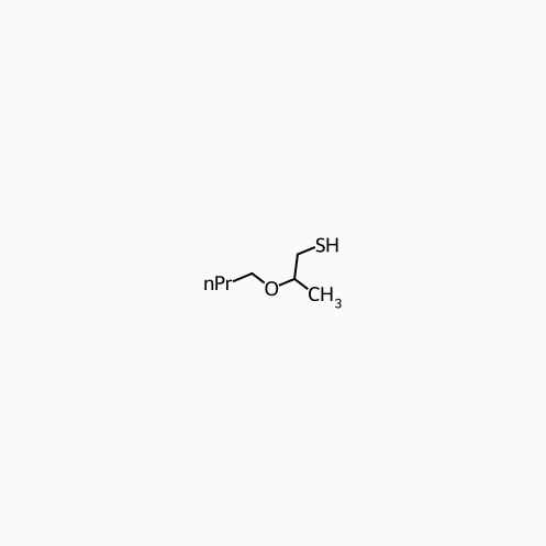 CCCCOC(C)CS